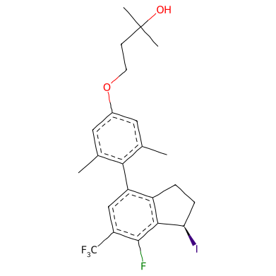 Cc1cc(OCCC(C)(C)O)cc(C)c1-c1cc(C(F)(F)F)c(F)c2c1CC[C@H]2I